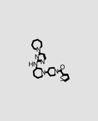 O=C(c1cccs1)N1CCC(N2CCCCC(Nc3nccc(N4CCCCCC4)n3)C2)CC1